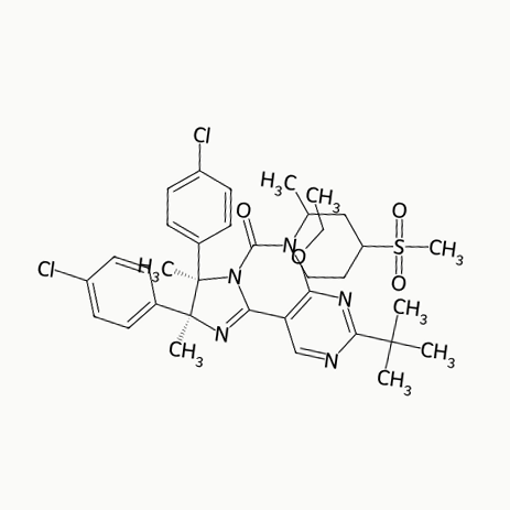 CCOc1nc(C(C)(C)C)ncc1C1=N[C@@](C)(c2ccc(Cl)cc2)[C@@](C)(c2ccc(Cl)cc2)N1C(=O)N1CCC(S(C)(=O)=O)CC1C